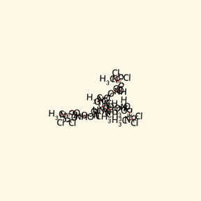 CN(C)CC(=O)NC(CCC(=O)N(C)CCOCCOCCNS(=O)(=O)c1cccc([C@@H]2CN(C)Cc3c(Cl)cc(Cl)cc32)c1)(CCC(=O)N(C)CCOCCOCCNS(=O)(=O)c1cccc([C@@H]2CN(C)Cc3c(Cl)cc(Cl)cc32)c1)CCC(=O)N(C)CCOCCOCCNS(=O)(=O)c1cccc([C@@H]2CN(C)Cc3c(Cl)cc(Cl)cc32)c1